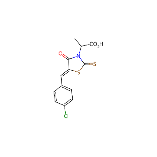 CC(C(=O)O)N1C(=O)C(=Cc2ccc(Cl)cc2)SC1=S